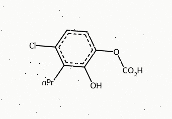 CCCc1c(Cl)ccc(OC(=O)O)c1O